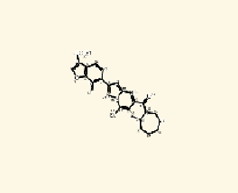 CCOC(=O)c1coc2c(F)c(-c3cc4nc(C(=O)N5CCCCC[C@H]5C)cc(CC)n4n3)ccc12